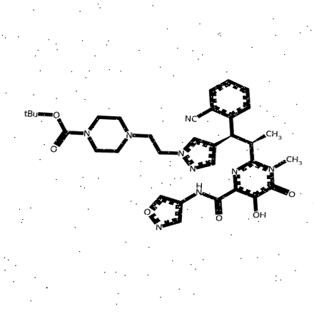 C[C@@H](c1nc(C(=O)Nc2cnoc2)c(O)c(=O)n1C)[C@@H](c1cnn(CCN2CCN(C(=O)OC(C)(C)C)CC2)c1)c1ccccc1C#N